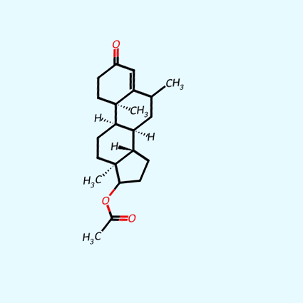 CC(=O)OC1CC[C@H]2[C@@H]3CC(C)C4=CC(=O)CC[C@]4(C)[C@@H]3CC[C@]12C